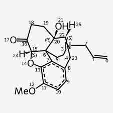 C=CCN1CCC23c4c5ccc(OC)c4O[C@@H]2C(=O)CC[C@]3(O)[C@@H]1C5